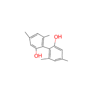 Cc1cc(C)c(-c2c(C)cc(C)cc2O)c(O)c1